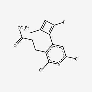 CCOC(=O)C(=O)CCc1c(C2=C(F)C=C2C)cc(Cl)nc1Cl